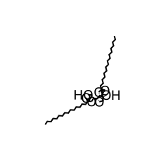 CCCCCCCCCCCCCCCCCC(=O)O[C@H]1[C@@H]([C@@H](CO)OC(=O)CCCCCCCCCCCCCCC)OC[C@@H]1O